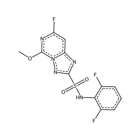 COc1nc(F)cc2nc(S(=O)(=O)Nc3c(F)cccc3F)nn12